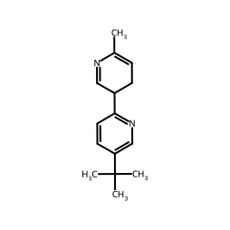 CC1=CCC(c2ccc(C(C)(C)C)cn2)C=N1